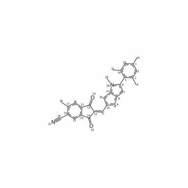 Cc1cc(C)c(-c2cc3sc(/C=C4\C(=O)c5cc(C)c(C#N)cc5C4=O)cc3n2C)c(C)c1